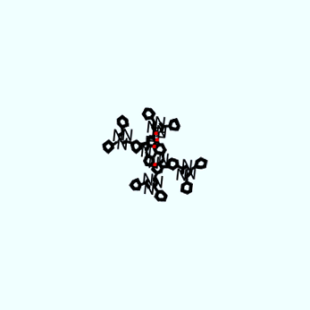 FC(F)(F)c1ccc(-n2c3ccc(-c4nc(-c5ccccc5)nc(-c5ccccc5)n4)cc3c3cc(-c4nc(-c5ccccc5)nc(-c5ccccc5)n4)ccc32)c(-c2ncccc2-n2c3ccc(-c4nc(-c5ccccc5)nc(-c5ccccc5)n4)cc3c3cc(-c4nc(-c5ccccc5)nc(-c5ccccc5)n4)ccc32)c1